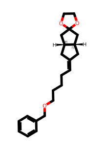 C(CCCCOCc1ccccc1)=C1C[C@@H]2CC3(C[C@@H]2C1)OCCO3